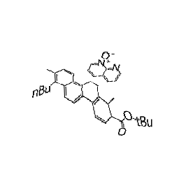 CCCCc1c(C)ccc2c3c(ccc12)C1=C(CC3)C(C)C(C(=O)OC(C)(C)C)C=C1.[O-][n+]1cccc2cccnc21